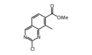 COC(=O)c1ccc2cnc(Cl)nc2c1C